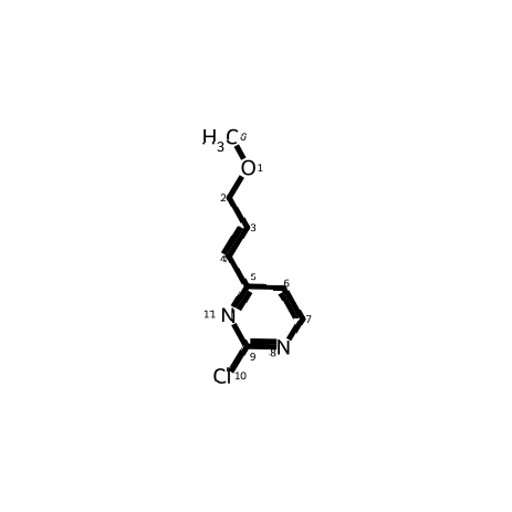 COCC=Cc1ccnc(Cl)n1